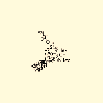 CCCCCCC(CCCC)[C](O)([SbH2])CCCCCC.CC[S+](C)C.CC[S+](C)C.O=N[O-].O=N[O-].O=N[O-].O=N[O-].O=N[O-].O=N[O-].[Cu]